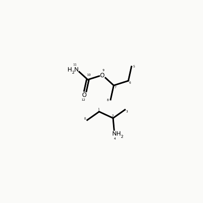 CCC(C)N.CCC(C)OC(N)=O